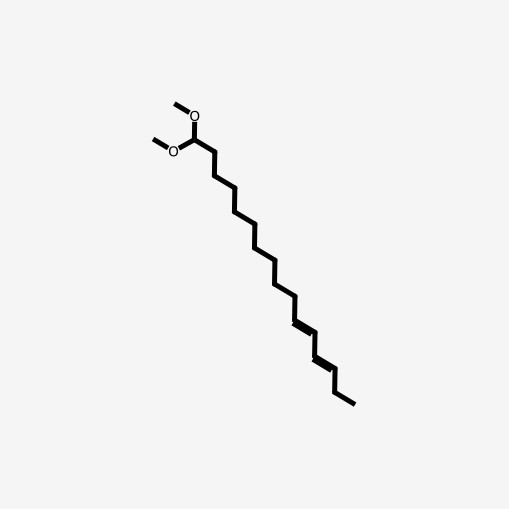 CCC=CC=CCCCCCCCCCC(OC)OC